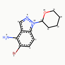 Nc1c(Br)ccc2c1cnn2C1CCCCO1